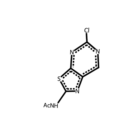 CC(=O)Nc1nc2cnc(Cl)nc2s1